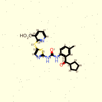 Cc1ccc(NC(=O)Nc2ncc(Sc3ncccc3C(=O)O)s2)c(C(=O)C2CCCC2)c1